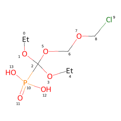 CCOC(OCC)(OCOCCl)P(=O)(O)O